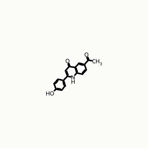 CC(=O)c1ccc2[nH]c(-c3ccc(O)cc3)cc(=O)c2c1